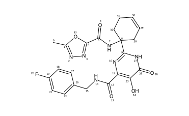 Cc1nnc(C(=O)NC2(c3nc(C(=O)NCc4ccc(F)cc4)c(O)c(=O)[nH]3)CC=CCC2)o1